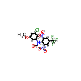 COc1cc(Cl)cc(N(C=O)c2c([N+](=O)[O-])cc(C(F)(F)F)cc2[N+](=O)[O-])c1